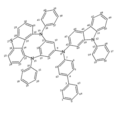 c1ccc(-c2ccc(N(c3cc4cc(c3)N(c3ccccc3)c3cccc5sc6cccc(c6c35)N4c3ccccc3)c3ccc4c5ccccc5n(-c5ccccc5)c4c3)cc2)cc1